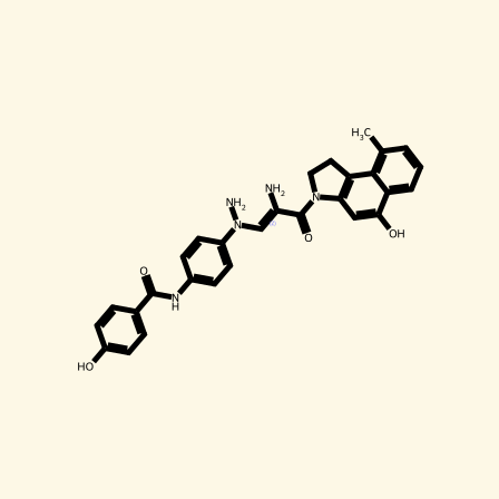 Cc1cccc2c(O)cc3c(c12)CCN3C(=O)/C(N)=C/N(N)c1ccc(NC(=O)c2ccc(O)cc2)cc1